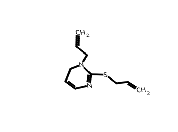 C=CCSC1=NC=CCN1CC=C